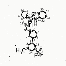 Cc1cc(-c2cccc(CNC[C@@H]3CCCN3S(=O)(=O)Nc3ccccc3)c2)cc(C(F)(F)F)c1